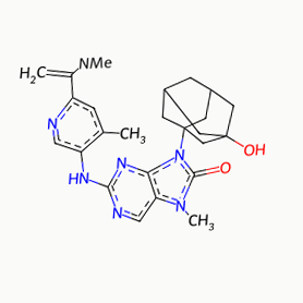 C=C(NC)c1cc(C)c(Nc2ncc3c(n2)n(C24CC5CC(CC(O)(C5)C2)C4)c(=O)n3C)cn1